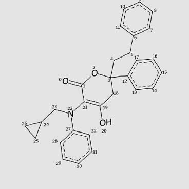 O=C1OC(CCc2ccccc2)(c2ccccc2)CC(O)=C1N(CC1CC1)c1ccccc1